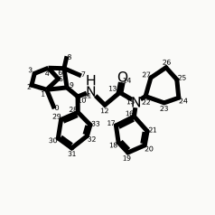 CC12CCC(C1)C(C)(C)C2C(NCC(=O)N(c1ccccc1)C1CCCCC1)c1ccccc1